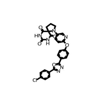 O=C1NC(=O)C2(CCCN2c2ccc(Oc3ccc(-c4nnc(-c5ccc(Cl)cc5)o4)cc3)nc2)C(=O)N1